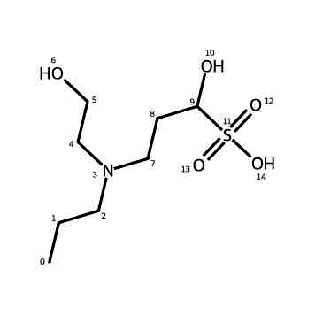 CCCN(CCO)CCC(O)S(=O)(=O)O